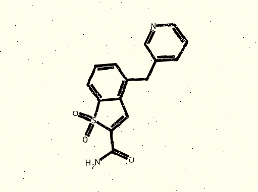 NC(=O)C1=Cc2c(Cc3cccnc3)cccc2S1(=O)=O